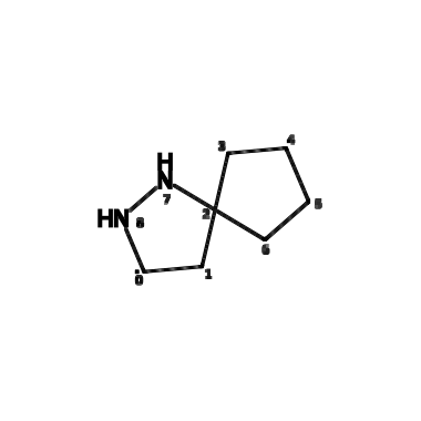 [CH]1CC2(CCCC2)NN1